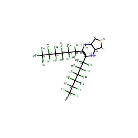 FC(F)(F)C(F)(F)C(F)(F)C(F)(F)C(F)(F)C(F)(F)C1=C(C(F)(F)C(F)(F)C(F)(F)C(F)(F)C(F)(F)C(F)(F)F)NC2CSCC2N1